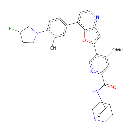 COc1cc(C(=O)NC2CN3CCC2CC3)ncc1-c1cc2nccc(-c3ccc(N4CCC(F)C4)c(C#N)c3)c2o1